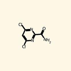 NC(=O)c1nc(Cl)cc(Cl)n1